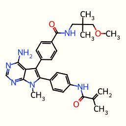 C=C(C)C(=O)Nc1ccc(-c2c(-c3ccc(C(=O)NCC(C)(C)COC)cc3)c3c(N)ncnc3n2C)cc1